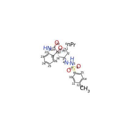 CCC[C@@H]1CC(=NNS(=O)(=O)c2ccc(C)cc2)C[C@@]2(O1)C(=O)Nc1ccccc12